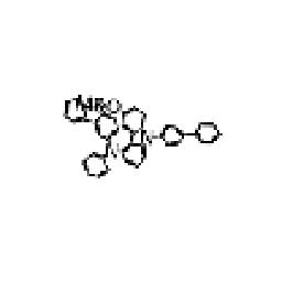 COC1=CCC2C(=C1)c1c(N(c3ccccc3)c3ccc4sc5ccccc5c4c3)cccc1N2c1ccc(-c2ccccc2)cc1